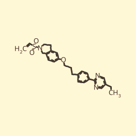 C=CS(=O)(=O)N1CCc2cc(OCCCc3ccc(-c4ncc(CC)cn4)cc3)ccc2C1